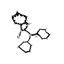 CC(=O)n1c(P(C2CCCCC2)C2CCCCC2)nc2ccccc21